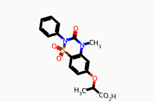 CC(Oc1ccc2c(c1)N(C)C(=O)N(c1ccccc1)S2(=O)=O)C(=O)O